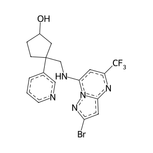 OC1CCC(CNc2cc(C(F)(F)F)nc3cc(Br)nn23)(c2cccnc2)C1